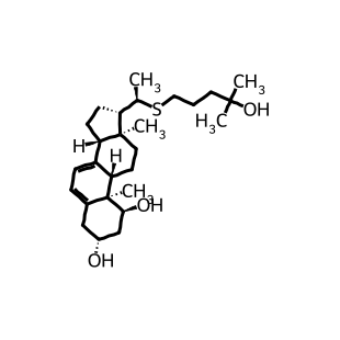 C[C@@H](SCCCC(C)(C)O)[C@H]1CC[C@H]2C3=CC=C4C[C@@H](O)C[C@H](O)[C@]4(C)[C@H]3CC[C@]12C